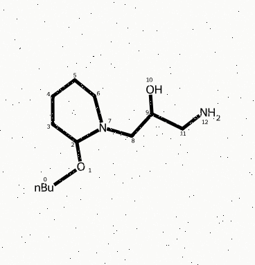 CCCCOC1CCCCN1CC(O)CN